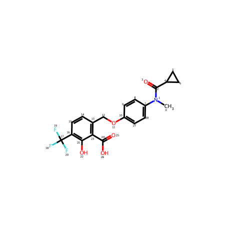 CN(C(=O)C1CC1)c1ccc(OCc2ccc(C(F)(F)F)c(O)c2C(=O)O)cc1